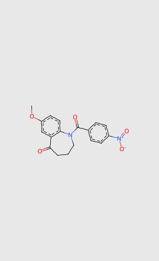 COc1ccc2c(c1)C(=O)CCCN2C(=O)c1ccc([N+](=O)[O-])cc1